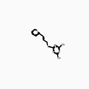 Oc1nc(O)nc(SCC=Cc2ccccc2)n1